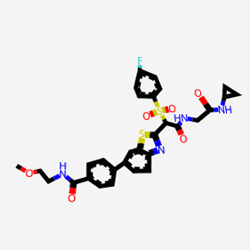 COCCNC(=O)c1ccc(-c2ccc3nc(C(C(=O)NCC(=O)NC4CC4)S(=O)(=O)c4ccc(F)cc4)sc3c2)cc1